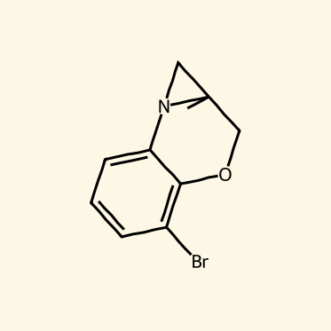 CC12COc3c(Br)cccc3N1C2